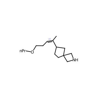 CCCOCC/C=C(/C)C1CCC2(CNC2)C1